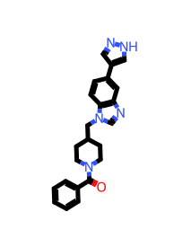 O=C(c1ccccc1)N1CCC(Cn2cnc3cc(-c4cn[nH]c4)ccc32)CC1